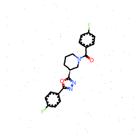 O=C(c1ccc(F)cc1)N1CCC[C@H](c2nnc(-c3ccc(F)cc3)o2)C1